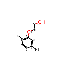 CCc1ccc(C)c(OCCO)c1